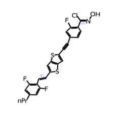 CCCc1cc(F)c(/C=C/c2cc3sc(C#Cc4ccc(/C(Cl)=N/O)c(F)c4)cc3s2)c(F)c1